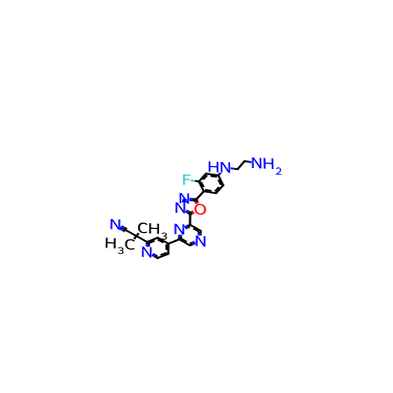 CC(C)(C#N)c1cc(-c2cncc(-c3nnc(-c4ccc(NCCN)cc4F)o3)n2)ccn1